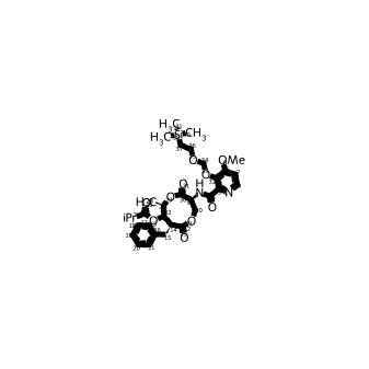 COc1ccnc(C(=O)N[C@H]2COC(=O)[C@H](Cc3ccccc3)C(OC(=O)C(C)C)[C@H](C)OC2=O)c1OCOCC[Si](C)(C)C